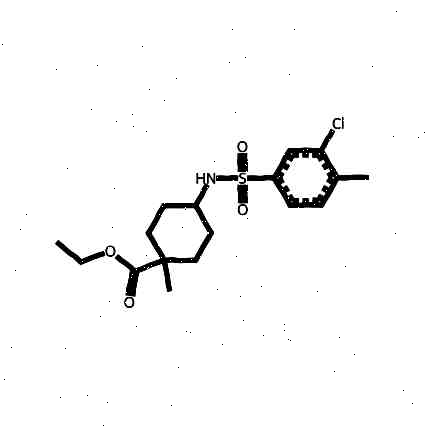 CCOC(=O)C1(C)CCC(NS(=O)(=O)c2ccc(C)c(Cl)c2)CC1